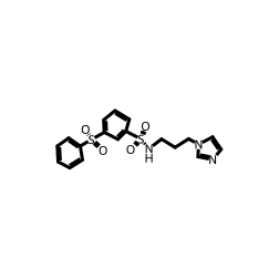 O=S(=O)(NCCCn1ccnc1)c1cccc(S(=O)(=O)c2ccccc2)c1